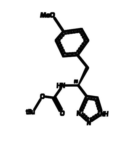 COc1ccc(C[C@H](NC(=O)OC(C)(C)C)c2c[nH]nn2)cc1